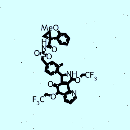 COc1ccccc1C1(C(=O)NS(=O)(=O)Cc2ccc(C3NC(OCC(F)(F)F)C4=C3C(=O)C(OCC(F)(F)F)c3cccnc34)c(C)c2)CC1